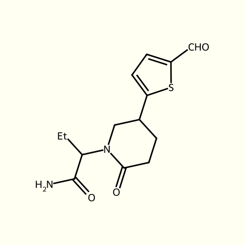 CCC(C(N)=O)N1CC(c2ccc(C=O)s2)CCC1=O